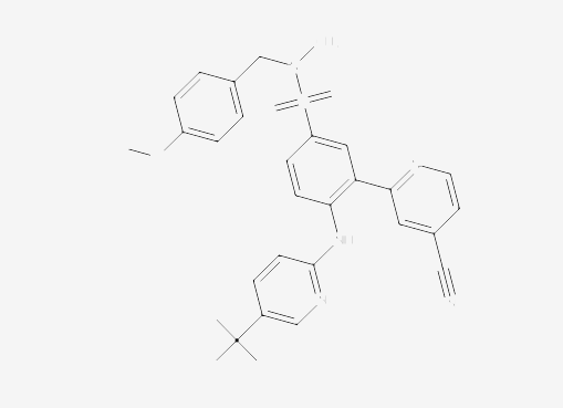 COc1ccc(CN(C)S(=O)(=O)c2ccc(Nc3ccc(C(F)(F)F)cn3)c(-c3cc(C#N)ccn3)c2)cc1